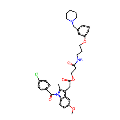 COc1ccc2c(c1)c(CC(=O)OCCC(=O)NCCCOc1cccc(CN3CCCCC3)c1)c(C)n2C(=O)c1ccc(Cl)cc1